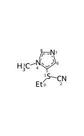 CCSC#N.Cn1ccnc1